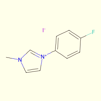 Cn1cc[n+](-c2ccc(F)cc2)c1.[I-]